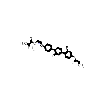 C=CC(=O)Oc1ccc(-c2ccc(-c3ccc(O/C=C\OC(=O)C(=C)C)cc3)c(F)c2)c(F)c1